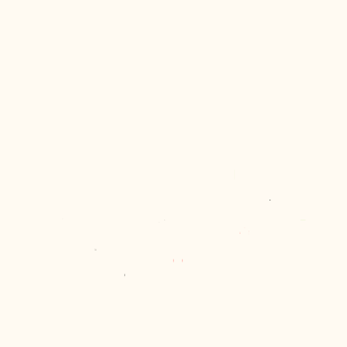 CC(C)(C)OC(=O)C#Cc1ccccc1CC(O)(F)F